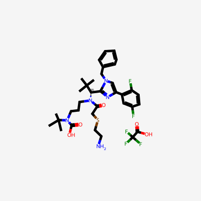 CC(C)(C)[C@H](c1nc(-c2cc(F)ccc2F)cn1Cc1ccccc1)N(CCCN(C(=O)O)C(C)(C)C)C(=O)CSCCN.O=C(O)C(F)(F)F